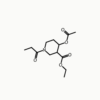 CCOC(=O)C1CN(C(=O)CC)CCC1OC(C)=O